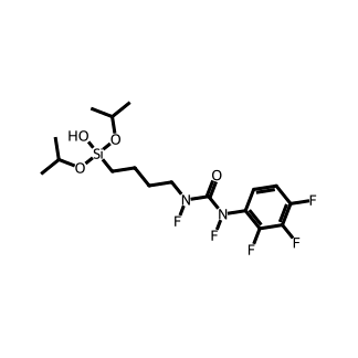 CC(C)O[Si](O)(CCCCN(F)C(=O)N(F)c1ccc(F)c(F)c1F)OC(C)C